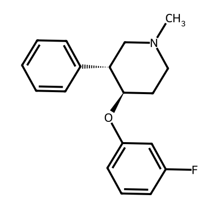 CN1CC[C@@H](Oc2cccc(F)c2)[C@H](c2ccccc2)C1